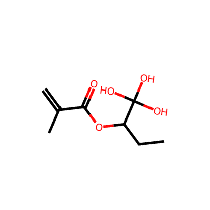 C=C(C)C(=O)OC(CC)C(O)(O)O